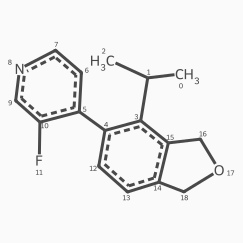 CC(C)c1c(-c2ccncc2F)ccc2c1COC2